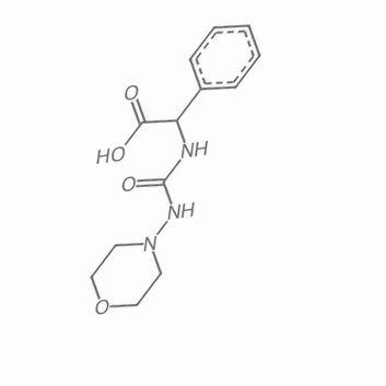 O=C(NC(C(=O)O)c1ccccc1)NN1CCOCC1